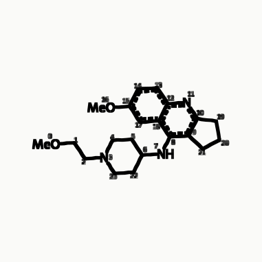 COCCN1CCC(Nc2c3c(nc4ccc(OC)cc24)CCC3)CC1